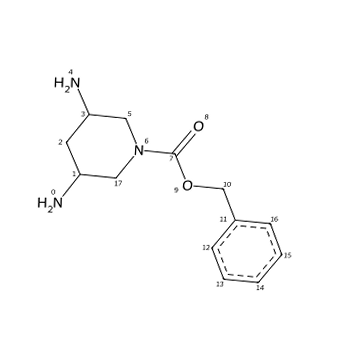 NC1CC(N)CN(C(=O)OCc2ccccc2)C1